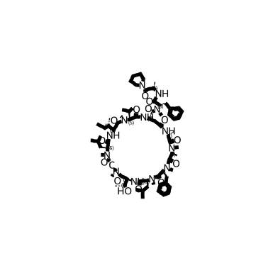 CC[C@H](C)[C@@H]1NC(=O)[C@H](CC(C)C)N(C)C(=O)CN(C)C(=O)[C@H]([C@@H](C)O)NC(=O)[C@H](CC(C)C)N(C)C(=O)[C@H](Cc2ccccc2)N(C)C(=O)[C@H](C)N(C)C(=O)[C@@H](C)NC(=O)C[C@@H](C(=O)N(C)[C@@H](Cc2ccccc2)C(=O)N[C@@H](C)C(=O)N2CCCCC2)NC(=O)[C@H](C(C)C)N(C)C1=O